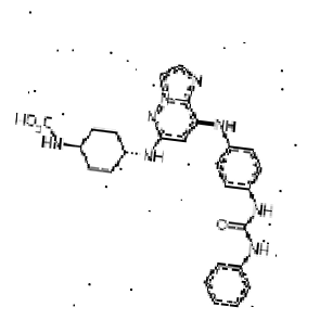 O=C(Nc1ccccc1)Nc1ccc(Nc2cc(N[C@H]3CC[C@H](NC(=O)O)CC3)nn3ccnc23)cc1